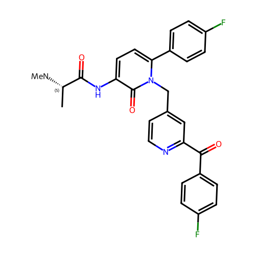 CN[C@@H](C)C(=O)Nc1ccc(-c2ccc(F)cc2)n(Cc2ccnc(C(=O)c3ccc(F)cc3)c2)c1=O